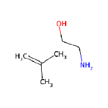 C=C(C)C.NCCO